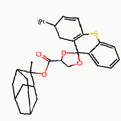 CC(C)C1C=CC2=C(C1)C1(OCC(C(=O)OC3(C)C4CC5CC(C4)CC3C5)O1)c1ccccc1S2